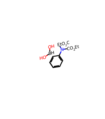 CCOC(=O)N(C(=O)OCC)c1ccccc1.OBO